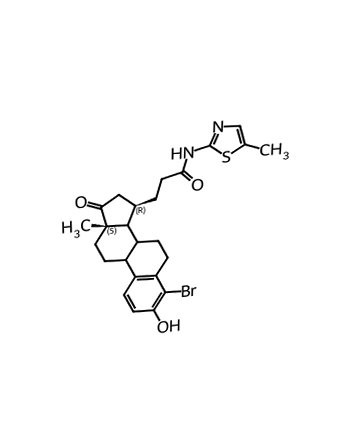 Cc1cnc(NC(=O)CC[C@@H]2CC(=O)[C@@]3(C)CCC4c5ccc(O)c(Br)c5CCC4C23)s1